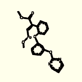 C[O][Po]/[CH]=C(/C(=O)OC)c1ccccc1Oc1cccc(Oc2ncccn2)c1